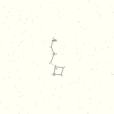 CCCCOC[C@@H]1CCO1